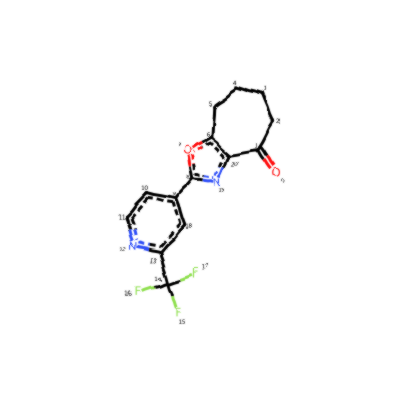 O=C1CCCCc2oc(-c3ccnc(C(F)(F)F)c3)nc21